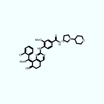 CN/C(=C1\C(=N)CCc2cnc(Nc3ccc(C(=O)N[C@@H]4CCN(C5CCOCC5)C4)cc3OC)nc21)c1ccccc1Cl